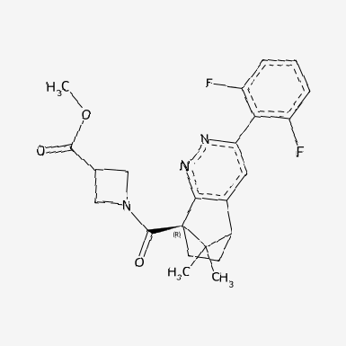 COC(=O)C1CN(C(=O)[C@@]23CCC(c4cc(-c5c(F)cccc5F)nnc42)C3(C)C)C1